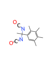 Cc1cc(C(C)(N=C=O)N=C=O)c(C)c(C)c1C